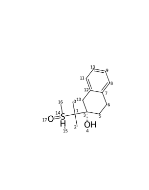 CC(C)([C@]1(O)CCc2ccccc2C1)[SH](C)(C)=O